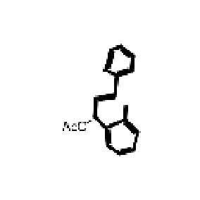 CC(=O)O[C@H](/C=C/c1ccccc1)c1ccccc1C